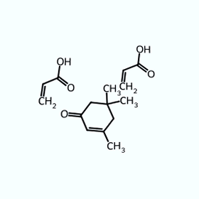 C=CC(=O)O.C=CC(=O)O.CC1=CC(=O)CC(C)(C)C1